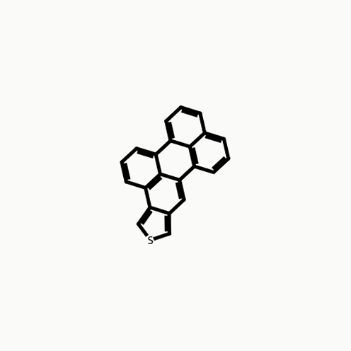 c1cc2cccc3c4cc5cscc5c5cccc(c(c1)c23)c54